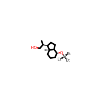 CC[Si](CC)(CC)O[C@H]1CCC[C@@]2(C)C1CC[C@@H]2C(C)CO